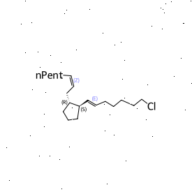 CCCCC/C=C\C[C@H]1CCC[C@@H]1/C=C/CCCCCCl